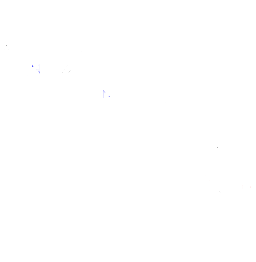 CC(=O)N(C)c1ccc(Sc2cc(C3(C)COC(C)(C)O3)cs2)nc1